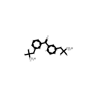 CC(C)(Cc1cccc(C(=O)c2cccc(CC(C)(C)C(=O)O)c2)c1)C(=O)O